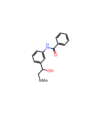 CNCC(O)c1cccc(NC(=O)c2ccccc2)c1